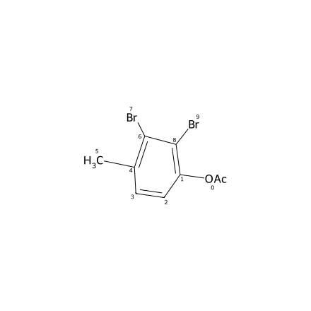 CC(=O)Oc1ccc(C)c(Br)c1Br